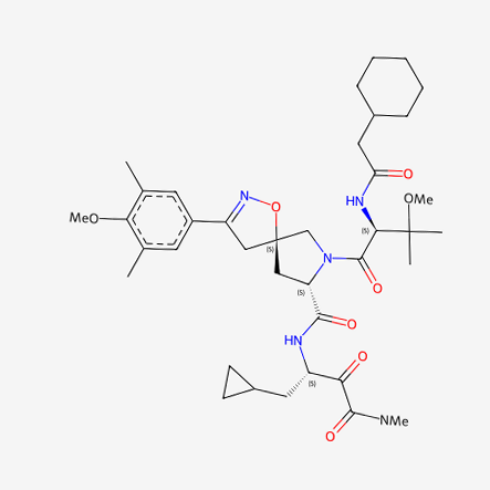 CNC(=O)C(=O)[C@H](CC1CC1)NC(=O)[C@@H]1C[C@]2(CC(c3cc(C)c(OC)c(C)c3)=NO2)CN1C(=O)[C@@H](NC(=O)CC1CCCCC1)C(C)(C)OC